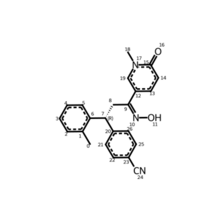 Cc1ccccc1[C@H](CC(=NO)c1ccc(=O)n(C)c1)c1ccc(C#N)cc1